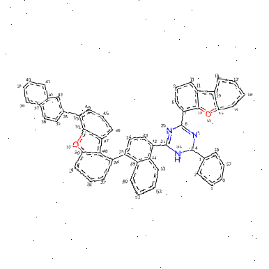 c1ccc(C2N=C(c3cccc4c3oc3ccccc34)N=C(c3ccc(-c4cccc5oc6c(-c7ccc8ccccc8c7)cccc6c45)c4ccccc34)N2)cc1